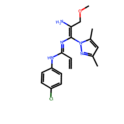 C=C/C(=N\C(=C(/N)COC)n1nc(C)cc1C)Nc1ccc(Cl)cc1